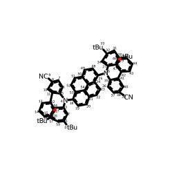 CC(C)(C)c1cc(N(c2ccc(C#N)cc2-c2ccccc2)c2ccc3ccc4c(N(c5cc(C(C)(C)C)cc(C(C)(C)C)c5)c5ccc(C#N)cc5-c5ccccc5)ccc5ccc2c3c54)cc(C(C)(C)C)c1